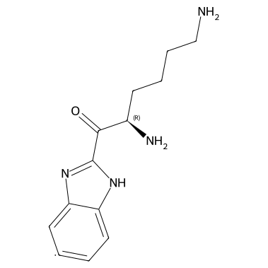 NCCCC[C@@H](N)C(=O)c1nc2c[c]ccc2[nH]1